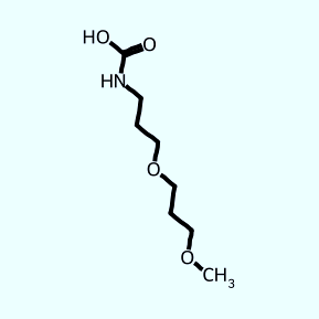 COCCCOCCCNC(=O)O